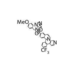 COc1ccc(CN(c2ncns2)S(=O)(=O)c2ccc3c(-c4ccc(C(F)(F)F)cc4-c4ccncc4)nccc3c2)cc1